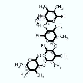 [4H]/P=N\[C@H]1C(C)[C@H](C)C(CC)O[C@H]1O[C@@H]1C(CC)O[C@@H](O[C@@H]2C(CC)O[C@@H](O[C@@H]3C(CC)O[C@@H](C)[C@@H](C)C3C)[C@@H](C)C2C)[C@@H](C)C1C